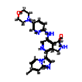 Cc1ccn2c(-c3ncc(Nc4ccc(N5CCOCC5)cn4)c4c3CNC4=O)cnc2c1